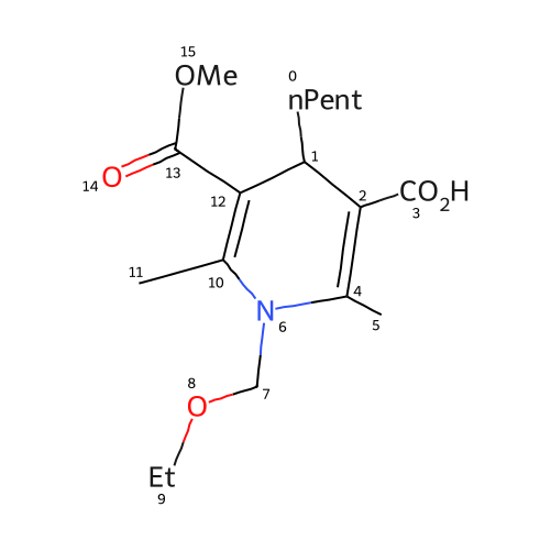 CCCCCC1C(C(=O)O)=C(C)N(COCC)C(C)=C1C(=O)OC